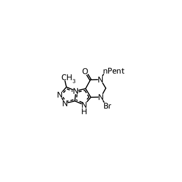 CCCCCN1CN(Br)c2[nH]c3nnc(C)n3c2C1=O